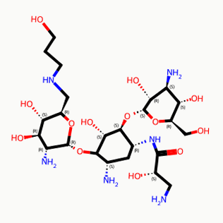 NC[C@H](O)C(=O)N[C@@H]1C[C@H](N)C(O[C@H]2O[C@H](CNCCCO)[C@@H](O)[C@H](O)[C@H]2N)[C@H](O)[C@H]1O[C@H]1O[C@H](CO)[C@@H](O)[C@H](N)[C@H]1O